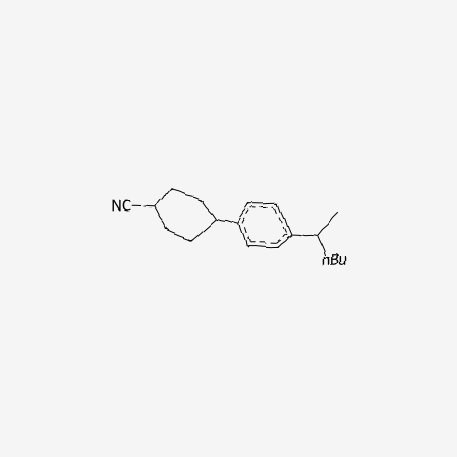 CCCCC(C)c1ccc(C2CCC(C#N)CC2)cc1